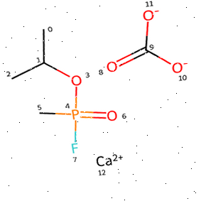 CC(C)OP(C)(=O)F.O=C([O-])[O-].[Ca+2]